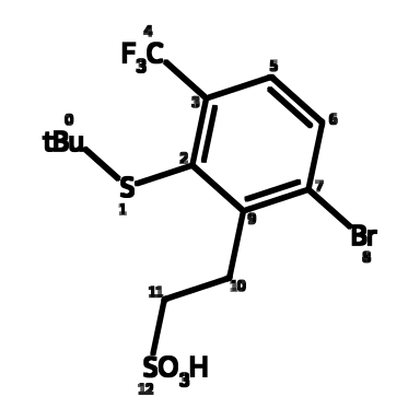 CC(C)(C)Sc1c(C(F)(F)F)ccc(Br)c1CCS(=O)(=O)O